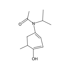 CC(=O)N(C1=CC=C(O)C(C)C1)C(C)C